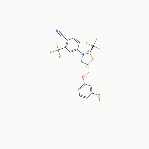 COc1cccc(OC[C@@H]2CN(c3ccc(C#N)c(C(F)(F)F)c3)[C@@H](C(F)(F)F)O2)c1